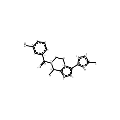 Cc1nsc(-c2nnc3n2CCN(C(=O)c2cccc(Cl)c2)C3C)n1